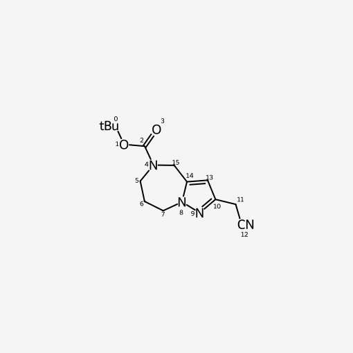 CC(C)(C)OC(=O)N1CCCn2nc(CC#N)cc2C1